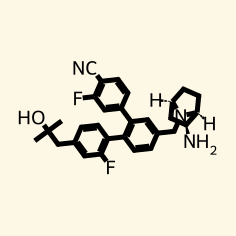 CC(C)(O)Cc1ccc(-c2ccc(CN3[C@@H]4CC[C@H]3[C@@H](N)C4)cc2-c2ccc(C#N)c(F)c2)c(F)c1